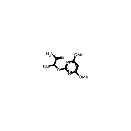 COc1cc(OC)nc(OC(C(N)=S)C(C)(C)C)n1